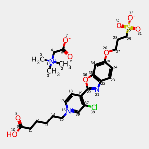 C[N+](C)(C)CC(=O)[O-].O=C(O)CCCCC[n+]1ccc(-c2nc3ccc(OCCCS(=O)(=O)[O-])cc3o2)c(Cl)c1